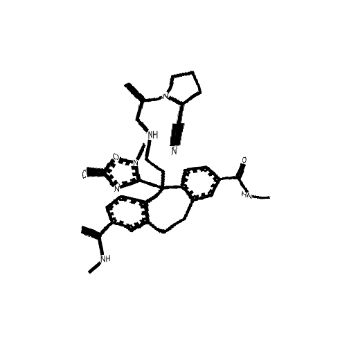 C=C(NC)c1ccc2c(c1)CCc1cc(C(=O)NC)ccc1C2(CCNCC(=C)N1CCCC1C#N)c1nc(=O)on1C